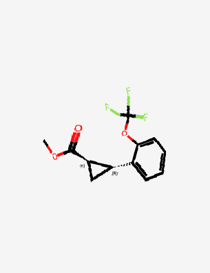 COC(=O)[C@@H]1C[C@H]1c1ccccc1OC(F)(F)F